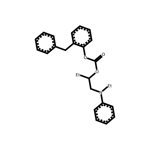 CCC(CN(CC)c1ccccc1)OC(=O)Oc1ccccc1Cc1ccccc1